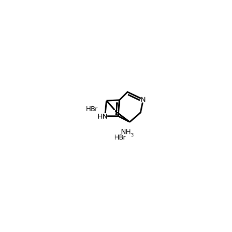 Br.Br.C1=NCC2SC3NC2=C13.N